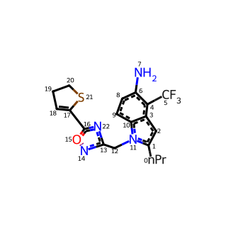 CCCc1cc2c(C(F)(F)F)c(N)ccc2n1Cc1noc(C2=CCCS2)n1